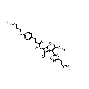 CCCCOc1ccc(CCC(=O)N[C@@H]2C(=O)N3C(c4nc(CCC)no4)=C(C)CSC23)cc1